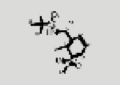 Cc1c([C@@H](C)N[S+]([O-])C(C)(C)C)cccc1S(C)(=O)=O